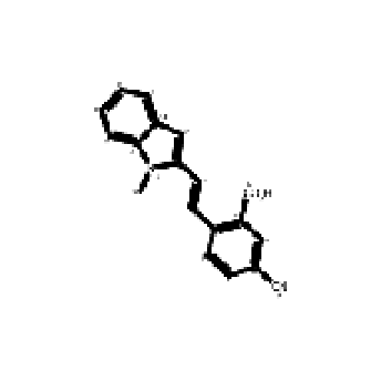 Cn1c(C=Cc2ccc(C#N)cc2C(=O)O)cc2ccccc21